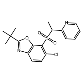 CC(c1ccccn1)S(=O)(=O)c1c(Cl)ccc2nc(C(C)(C)C)oc12